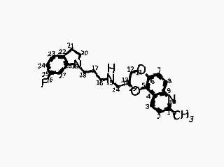 Cc1ccc2c3c(ccc2n1)OC[C@H](CNCCCN1CCc2ccc(F)cc21)O3